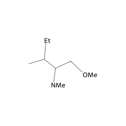 CCC(C)C(COC)NC